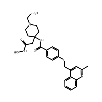 Cc1cc(COc2ccc(C(=O)NC3(CC(=O)NO)CCN(CC(=O)O)CC3)cc2)c2ccccc2n1